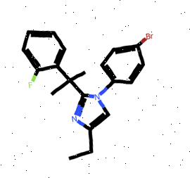 CCc1cn(-c2ccc(Br)cc2)c(C(C)(C)c2ccccc2F)n1